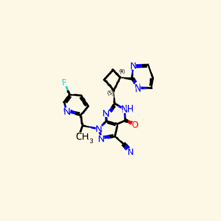 CC(c1ccc(F)cn1)n1nc(C#N)c2c(=O)[nH]c([C@H]3CC[C@H]3c3ncccn3)nc21